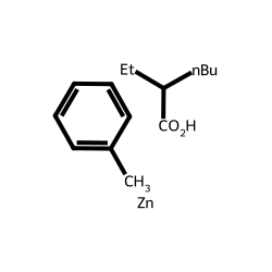 CCCCC(CC)C(=O)O.Cc1ccccc1.[Zn]